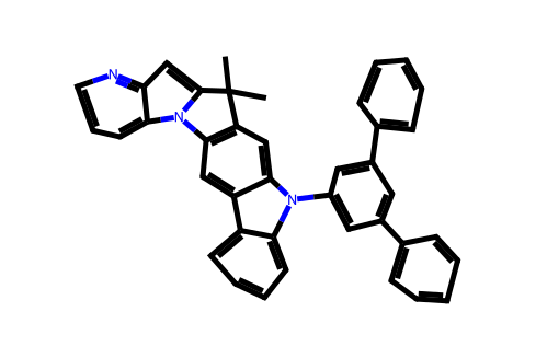 CC1(C)c2cc3c(cc2-n2c1cc1ncccc12)c1ccccc1n3-c1cc(-c2ccccc2)cc(-c2ccccc2)c1